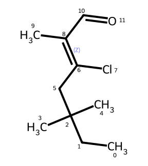 CCC(C)(C)C/C(Cl)=C(\C)C=O